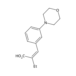 CCC(=Cc1cccc(N2CCOCC2)c1)C(=O)O